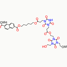 COCCn1c(=O)n(CCO)c(=O)n(CCOC(=O)CCn2c(=O)[nH]c(=O)n(CCC(=O)OCCCCCCOC(=O)c3ccc4cc(C(=O)OC)ccc4c3)c2=O)c1=O